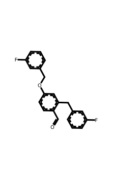 O=Cc1ccc(OCc2cccc(F)c2)cc1Cc1cccc(F)c1